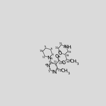 Cc1n[c]nc(N2CCCCC2)c1C(=O)OC(C)C1CNCCO1